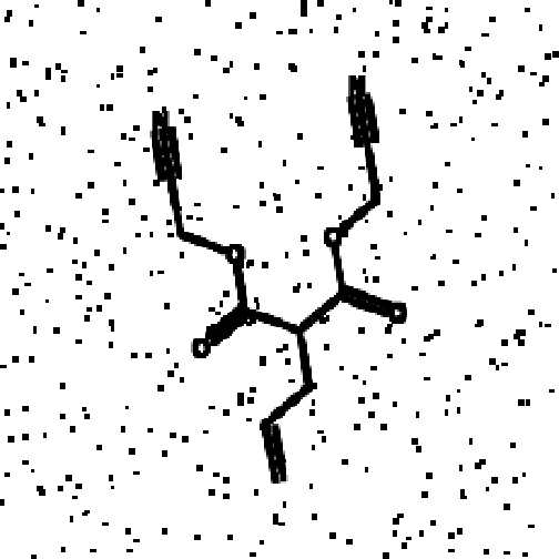 C=CCC(C(=O)OCC#N)C(=O)OCC#N